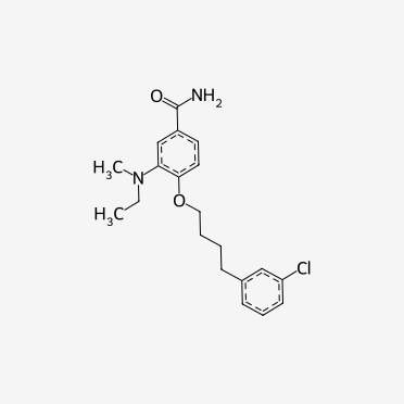 CCN(C)c1cc(C(N)=O)ccc1OCCCCc1cccc(Cl)c1